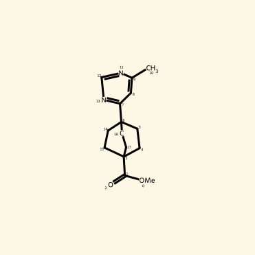 COC(=O)C12CCC(c3cc(C)ncn3)(CC1)CC2